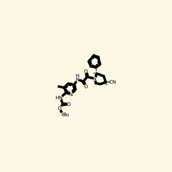 Cc1cc(NC(=O)C(=O)N2CC[C@@H](C#N)C[C@H]2c2ccccc2)cnc1NC(=O)OC(C)(C)C